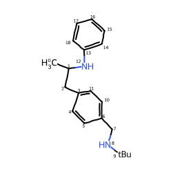 CC(Cc1ccc(CNC(C)(C)C)cc1)Nc1ccccc1